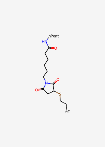 CCCCCNC(=O)CCCCCN1C(=O)CC(SCCC(C)=O)C1=O